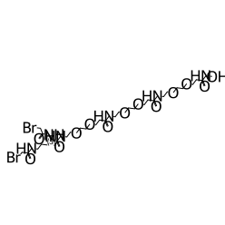 O=C(CCOCCOCCNC(=O)CCOCCOCCNC(=O)CCOCCOCCNC(=O)[C@H](CCCNC(=O)CBr)NC(=O)CBr)NO